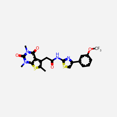 Cc1sc2c(c1CC(=O)Nc1nc(-c3cccc(OC(F)(F)F)c3)cs1)c(=O)n(C)c(=O)n2C